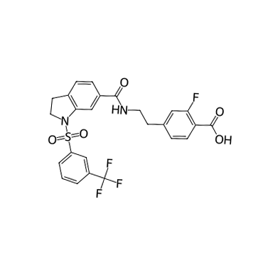 O=C(NCCc1ccc(C(=O)O)c(F)c1)c1ccc2c(c1)N(S(=O)(=O)c1cccc(C(F)(F)F)c1)CC2